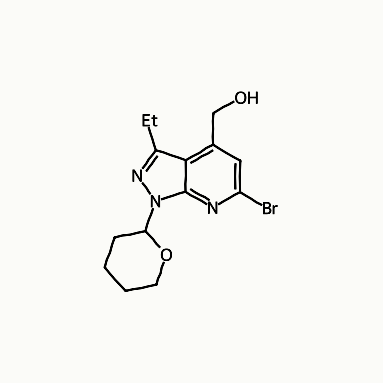 CCc1nn(C2CCCCO2)c2nc(Br)cc(CO)c12